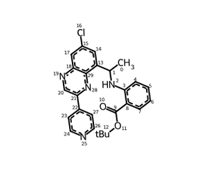 CC(Nc1ccccc1C(=O)OC(C)(C)C)c1cc(Cl)cc2ncc(-c3ccncc3)nc12